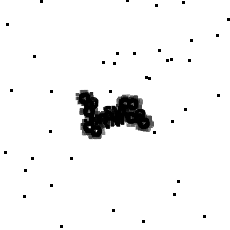 c1ccc2c(N(c3ccc4c(c3)oc3ccccc34)c3cnc4c(c3)sc3nc(N(c5ccc6c(c5)oc5ccccc56)c5cccc6ccccc56)nnc34)cccc2c1